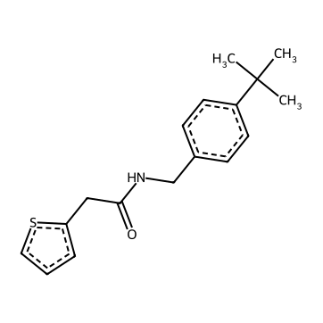 CC(C)(C)c1ccc(CNC(=O)Cc2cccs2)cc1